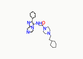 O=C(CNc1c(-c2ccccc2)nc2cnccn12)N1CCN(CCC2CCCCC2)CC1